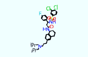 CC(C)CN(CCCc1ccc2c(c1)CCCC2NC(=O)CC(NS(=O)(=O)c1ccc(Cl)c(Cl)c1)c1ccc(F)cc1)CC(C)C